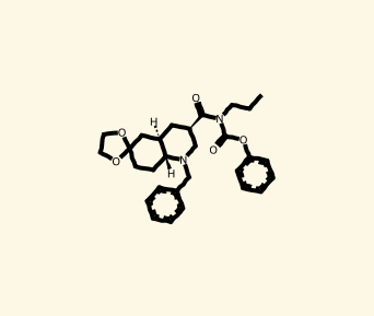 CCCN(C(=O)Oc1ccccc1)C(=O)[C@@H]1C[C@@H]2CC3(CC[C@H]2N(Cc2ccccc2)C1)OCCO3